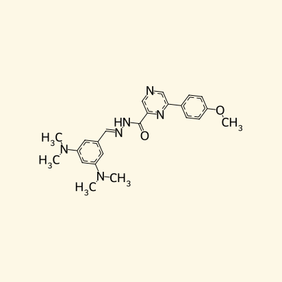 COc1ccc(-c2cncc(C(=O)N/N=C/c3cc(N(C)C)cc(N(C)C)c3)n2)cc1